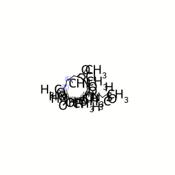 COc1cc2cc(c1Cl)N(C)C(=O)C[C@H](OC(=O)NCCC[SH](C)(C)=O)[C@]1(C)O[C@H]1[C@H](C)[C@@H]1C[C@@](O)(NC(=O)O1)[C@H](OC)/C=C/C=C(\C)C2